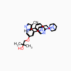 C#Cc1ccc(CCN2C3CC2CN(c2ccc(-c4cc(OCC(C)(C)O)cn5ncc(C#N)c45)cn2)C3)nc1